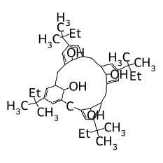 CCC(C)(C)C1=CC2CC3=CC(C(C)(C)CC)=CC(CC4C=C(C(C)(C)CC)C=C(CC5C=C(C(C)(C)CC)C=C(CC(=C1)C2O)C5O)C4O)C3O